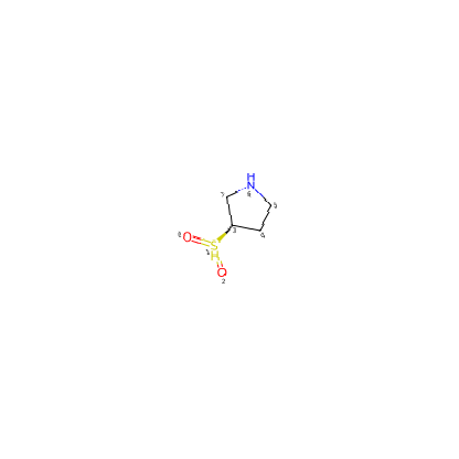 O=[SH](=O)[C@@H]1CCNC1